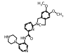 COc1cc2c(cc1OC)CN(c1cccc(C(=O)Nc3cnccc3N3CCNCC3)n1)CC2